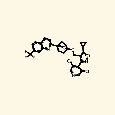 FC(F)(F)c1ccc2ccc(C34CCC(OCc5c(-c6c(Cl)cncc6Cl)noc5C5CC5)(CC3)CC4)nc2c1